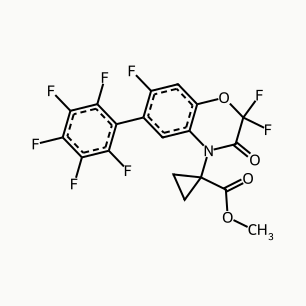 COC(=O)C1(N2C(=O)C(F)(F)Oc3cc(F)c(-c4c(F)c(F)c(F)c(F)c4F)cc32)CC1